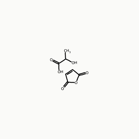 CC(O)C(=O)O.O=C1C=CC(=O)O1